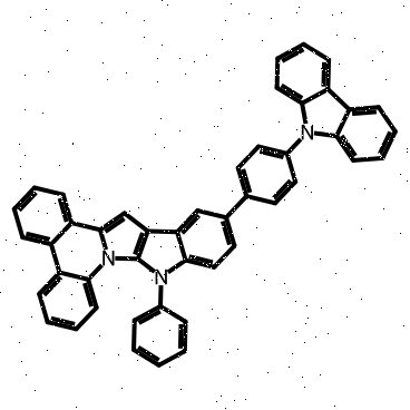 c1ccc(-n2c3ccc(-c4ccc(-n5c6ccccc6c6ccccc65)cc4)cc3c3cc4c5ccccc5c5ccccc5n4c32)cc1